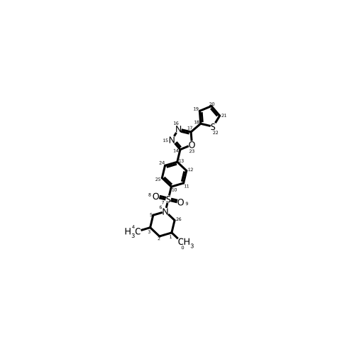 CC1CC(C)CN(S(=O)(=O)c2ccc(-c3nnc(-c4cccs4)o3)cc2)C1